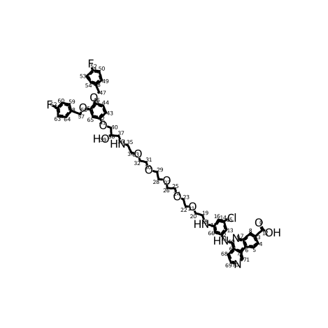 O=C(O)c1ccc2c(c1)nc(Nc1cc(Cl)cc(NCCOCCOCCOCCOCCOCCNCC(O)COc3ccc(OCc4ccc(F)cc4)c(OCc4ccc(F)cc4)c3)c1)c1ccncc12